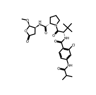 CO[C@@H]1OC(=O)C[C@@H]1NC(=O)[C@@H]1CCCN1C(=O)[C@@H](NC(=O)c1ccc(NC(=O)C(C)C)cc1Cl)C(C)(C)C